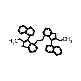 CCC1=C(c2cccc3ccccc23)c2c(cccc2CCc2cccc3c2C(c2cccc4ccccc24)=C(CC)[CH]3)[CH]1